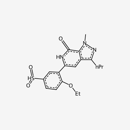 CCCc1nn(C)c2c(=O)[nH]c(-c3cc([SH](=O)=O)ccc3OCC)cc12